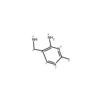 Cc1ncc(C[NH])c(N)n1